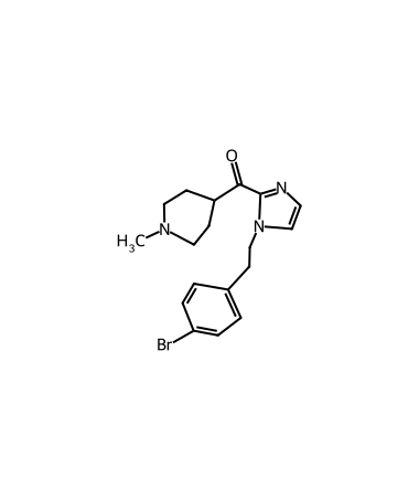 CN1CCC(C(=O)c2nccn2CCc2ccc(Br)cc2)CC1